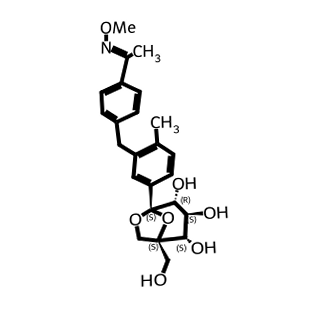 CON=C(C)c1ccc(Cc2cc([C@]34OC[C@](CO)(O3)[C@@H](O)[C@H](O)[C@H]4O)ccc2C)cc1